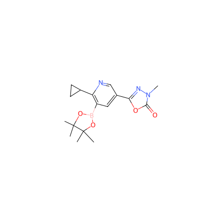 Cn1nc(-c2cnc(C3CC3)c(B3OC(C)(C)C(C)(C)O3)c2)oc1=O